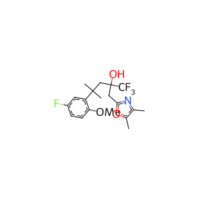 COc1ccc(F)cc1C(C)(C)CC(O)(Cc1nc(C)c(C)o1)C(F)(F)F